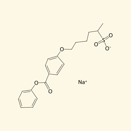 CC(CCCCOc1ccc(C(=O)Oc2ccccc2)cc1)S(=O)(=O)[O-].[Na+]